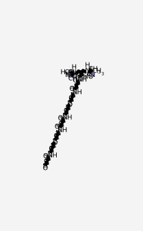 C/C(=N/O)C(C)(C)NCCC(CCNC(=O)CCCC(=O)NCCOCCOCCOCCNC(=O)COCC(=O)NCCOCCOCCOCCNC(=O)COCC=O)CCNC(C)(C)/C(C)=N\O